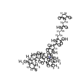 CN[C@H](C(=O)N[C@H](C(=O)N(C)[C@H](/C=C(\C)C(=O)N[C@H](CCC(=O)N[C@@H](CCCCNC(=O)CCN1C(=O)C=CC1=O)C(=O)O)C(=O)O)C(C)C)C(C)(C)C)C(C)(C)c1cn(C)c2ccc(F)cc12